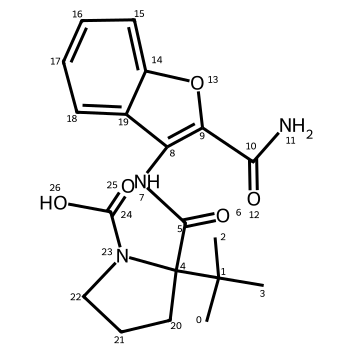 CC(C)(C)C1(C(=O)Nc2c(C(N)=O)oc3ccccc23)CCCN1C(=O)O